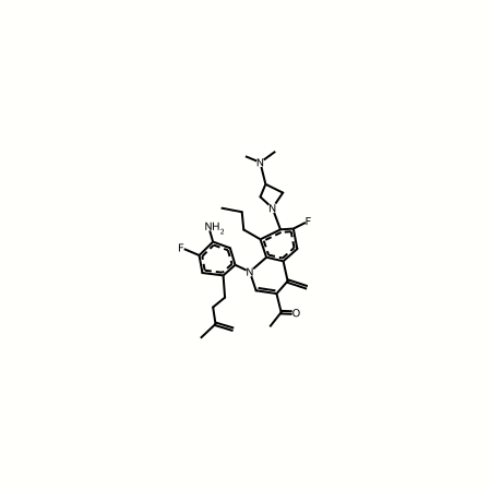 C=C(C)CCc1cc(F)c(N)cc1N1C=C(C(C)=O)C(=C)c2cc(F)c(N3CC(N(C)C)C3)c(CCC)c21